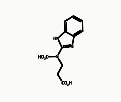 O=C(O)CCN(C(=O)O)c1nc2ccccc2[nH]1